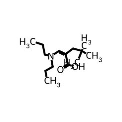 CCCN(C=C(CC(C)(C)C)C(=O)O)CCC